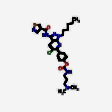 CCCCCCn1nc(NC(=O)c2cnsc2)c2cc(Cl)c(-c3ccc(OC(=O)NCCCN(C)C)cc3)nc21